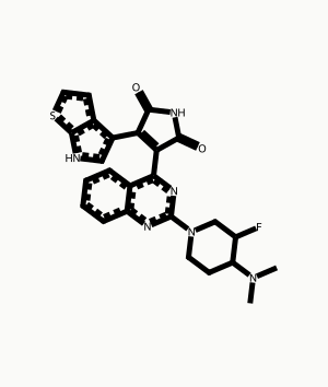 CN(C)C1CCN(c2nc(C3=C(c4c[nH]c5sccc45)C(=O)NC3=O)c3ccccc3n2)CC1F